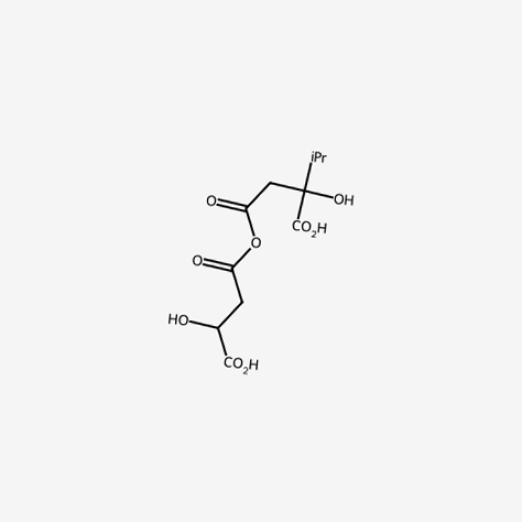 CC(C)C(O)(CC(=O)OC(=O)CC(O)C(=O)O)C(=O)O